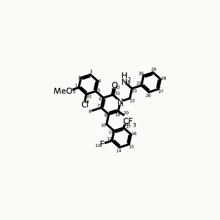 COc1cccc(-c2c(C)c(Cc3c(F)cccc3C(F)(F)F)c(C)n(CC(N)c3ccccc3)c2=O)c1Cl